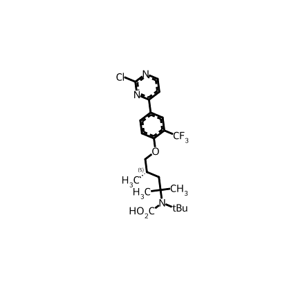 C[C@H](COc1ccc(-c2ccnc(Cl)n2)cc1C(F)(F)F)CC(C)(C)N(C(=O)O)C(C)(C)C